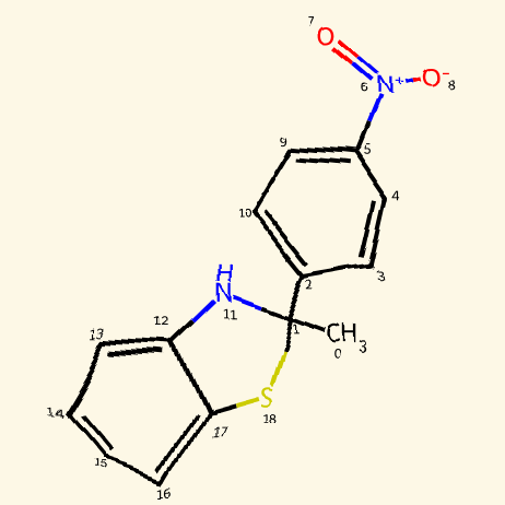 CC1(c2ccc([N+](=O)[O-])cc2)Nc2ccccc2S1